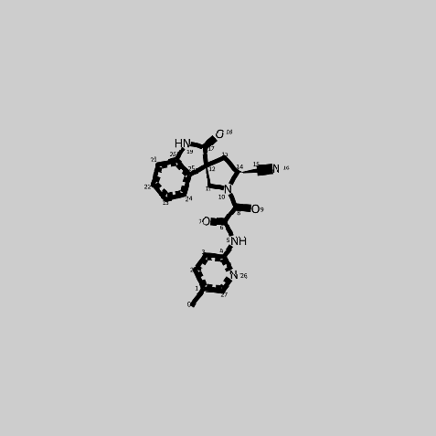 Cc1ccc(NC(=O)C(=O)N2C[C@]3(C[C@H]2C#N)C(=O)Nc2ccccc23)nc1